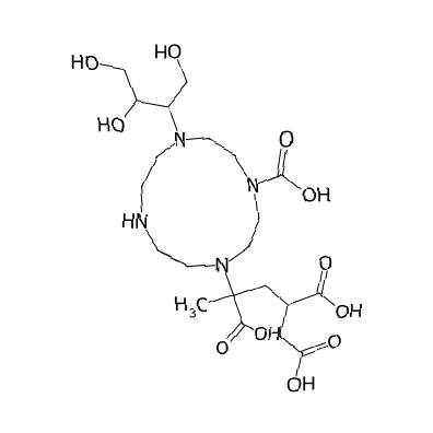 CC(CC(CC(=O)O)C(=O)O)(C(=O)O)N1CCNCCN(C(CO)C(O)CO)CCN(C(=O)O)CC1